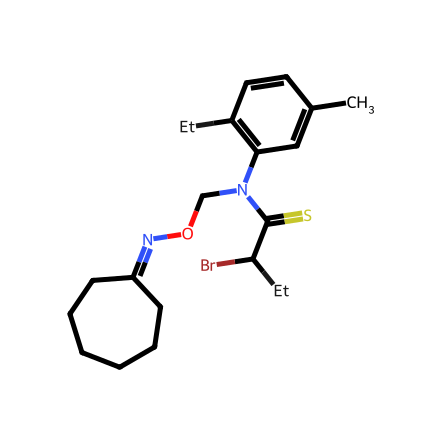 CCc1ccc(C)cc1N(CON=C1CCCCCC1)C(=S)C(Br)CC